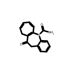 NC(=O)N1C2=C(CC=CC=C2)C(=O)Cc2ccccc21